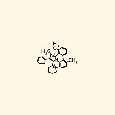 Cc1ccc2c3c1c1cccc(C)c1c1n3c(c(-c3ccccc3)[n+]1C)C13CCCCC21CCC3